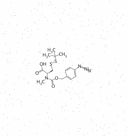 CN(C(=O)OCc1ccc(N=[N+]=[N-])cc1)[C@H](CSSC(C)(C)C)C(=O)O